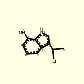 C[C](Cl)c1c[nH]c2c(N=O)cccc12